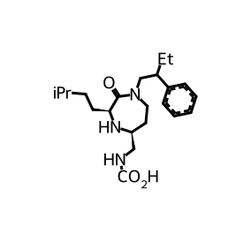 CCC(CN1CC[C@@H](CNC(=O)O)N[C@@H](CCC(C)C)C1=O)c1ccccc1